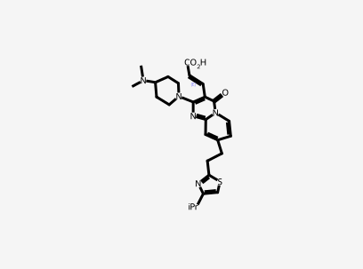 CC(C)c1csc(CCc2ccn3c(=O)c(/C=C/C(=O)O)c(N4CCC(N(C)C)CC4)nc3c2)n1